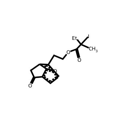 CCC(C)(I)C(=O)OCCc1c2c3oc1cc3C(=O)C2